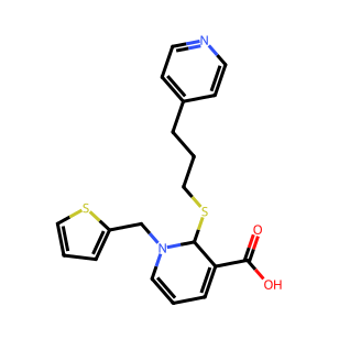 O=C(O)C1=CC=CN(Cc2cccs2)C1SCCCc1ccncc1